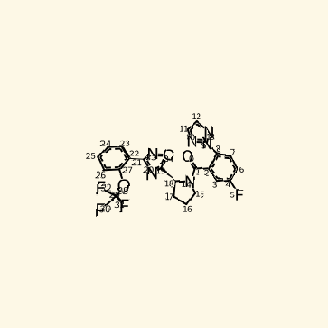 O=C(c1cc(F)ccc1-n1nccn1)N1CCC[C@H]1c1nc(-c2ccccc2OC(F)(F)F)no1